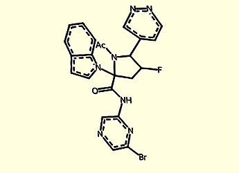 CC(=O)N1C(c2ccnnc2)C(F)CC1(C(=O)Nc1cncc(Br)n1)n1ccc2ccccc21